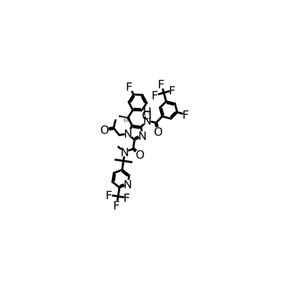 CC(=O)Cn1c(C(=O)N(C)C(C)(C)c2ccc(C(F)(F)F)nc2)nc(NC(=O)c2cc(F)cc(C(F)(F)F)c2)c1[C@@H](C)c1cc(F)ccc1Cl